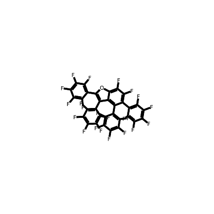 Fc1c(F)c(F)c(-c2oc3c(F)c(F)c(-c4c(F)c(F)c(F)c(F)c4F)c(-c4c(F)c(F)c(F)c(F)c4F)c3c2-c2c(F)c(F)c(F)c(F)c2F)c(F)c1F